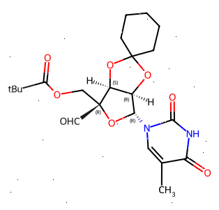 Cc1cn([C@@H]2O[C@](C=O)(COC(=O)C(C)(C)C)[C@H]3OC4(CCCCC4)O[C@@H]23)c(=O)[nH]c1=O